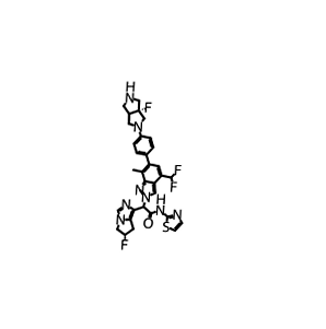 Cc1c(-c2ccc(N3CC4CNC[C@@]4(F)C3)cc2)cc(C(F)F)c2cn(C(C(=O)Nc3nccs3)c3ncn4c3C[C@@H](F)C4)nc12